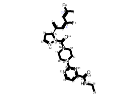 C=C(/C=C(F)\C=C(/C)F)[C@@H]1CC=NN1C(=O)N1CCN(c2nccc(C(=O)NCC)n2)CC1